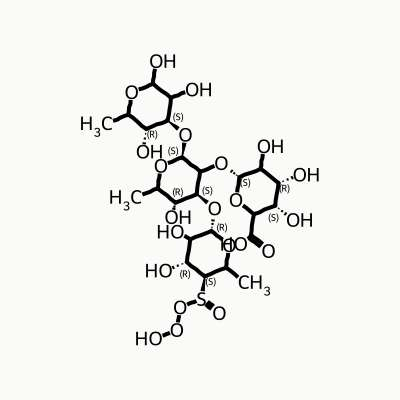 CC1OC(O)C(O)[C@@H](O[C@@H]2OC(C)[C@@H](O)[C@H](O[C@@H]3OC(C)[C@@H](S(=O)OOO)[C@H](O)C3O)C2O[C@H]2OC(C(=O)O)[C@@H](O)[C@@H](O)C2O)[C@@H]1O